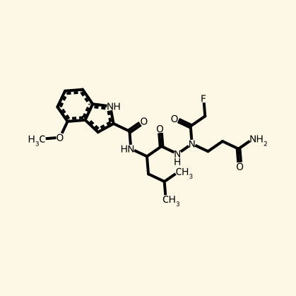 COc1cccc2[nH]c(C(=O)NC(CC(C)C)C(=O)NN(CCC(N)=O)C(=O)CF)cc12